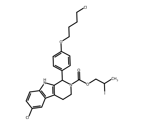 CC(I)COC(=O)N1CCc2c([nH]c3ccc(Cl)cc23)C1c1ccc(OCCCCCl)cc1